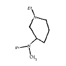 CCN1CCCC(N(C)C(C)C)C1